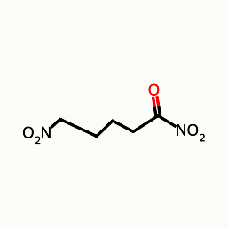 O=C(CCCC[N+](=O)[O-])[N+](=O)[O-]